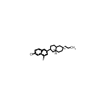 CCC[C@@H]1CC[C@@H]2CC(c3cc(F)c4cc(Cl)ccc4c3)CCC2C1